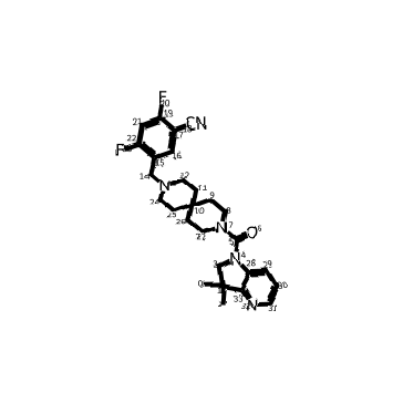 CC1(C)CN(C(=O)N2CCC3(CCN(Cc4cc(C#N)c(F)cc4F)CC3)CC2)c2cccnc21